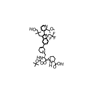 CO[C@@H](C)c1ncccc1-c1c(CC(C)(C)CO)c2cc(C3=CCCN(C[C@H](NC(=O)OC(C)(C)C)C(=O)N4CCC[C@@H](C(=O)O)N4)C3)ccc2n1CC(F)(F)F